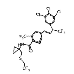 O=C(NC1(CSCC(F)(F)F)CC1)c1ccc(C=CC(c2cc(Cl)c(Cl)c(Cl)c2)C(F)(F)F)cc1C(F)(F)F